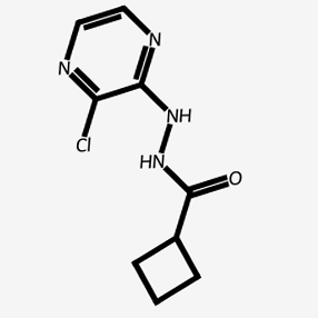 O=C(NNc1nccnc1Cl)C1CCC1